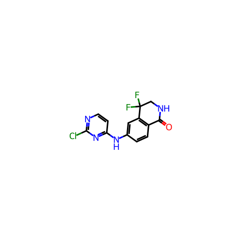 O=C1NCC(F)(F)c2cc(Nc3ccnc(Cl)n3)ccc21